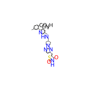 Cc1ccc(C(=O)O)c(-c2ncc(CNCC3CCN(c4nccc(/C=C5\SC(=O)NC5=O)n4)CC3)cc2C#N)c1